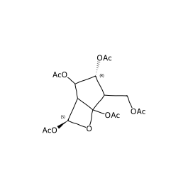 CC(=O)OCC1[C@@H](OC(C)=O)C(OC(C)=O)C2[C@H](OC(C)=O)OC21OC(C)=O